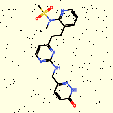 CN(c1ncccc1CCc1ccnc(NCc2ccc(=O)[nH]n2)n1)S(C)(=O)=O